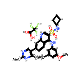 COc1ncc(-c2ccc3c(Nc4cc(OC(C)C)cc(C(=O)O)c4)c(S(=O)(=O)NC4CCC4)cnc3c2)c(OC)n1.O=C(O)C(F)(F)F